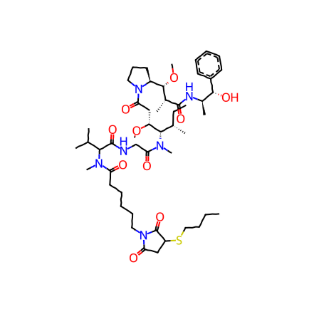 CCCCSC1CC(=O)N(CCCCCC(=O)N(C)C(C(=O)NCC(=O)N(C)[C@@H]([C@@H](C)CC)[C@@H](CC(=O)N2CCC[C@H]2[C@H](OC)[C@@H](C)C(=O)N[C@H](C)[C@@H](O)c2ccccc2)OC)C(C)C)C1=O